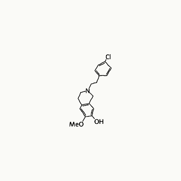 COc1cc2c(cc1O)CN(CCc1ccc(Cl)cc1)CC2